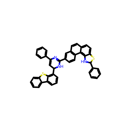 C1=C(c2ccccc2)N=C(c2ccc3c(ccc4ccc5c(c43)NC(c3ccccc3)S5)c2)NC1c1cccc2c1sc1ccccc12